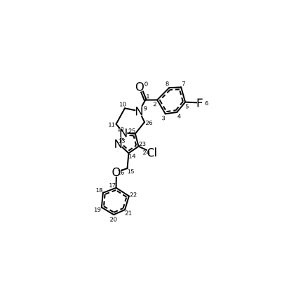 O=C(c1ccc(F)cc1)N1CCn2nc(COc3ccccc3)c(Cl)c2C1